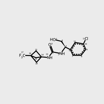 O=C(N[C@@H](CO)c1cccc(Cl)c1)NC12CC(C(F)(F)F)(C1)C2